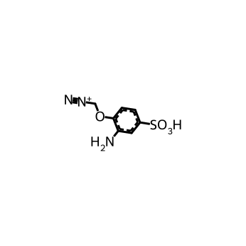 N#[N+]COc1ccc(S(=O)(=O)O)cc1N